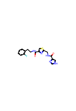 O=C(NCc1nc(C(=O)NCCc2ccccc2F)cs1)c1c[nH]cn1